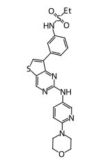 CCS(=O)(=O)Nc1cccc(-c2csc3cnc(Nc4ccc(N5CCOCC5)nc4)nc23)c1